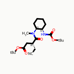 CN(C(=O)[C@H](CC#N)CC(=O)OC(C)(C)C)[C@H]1CCCC[C@@H]1NC(=O)OC(C)(C)C